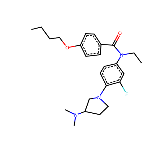 CCCCOc1ccc(C(=O)N(CC)c2ccc(N3CCC(N(C)C)C3)c(F)c2)cc1